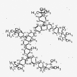 C=C=C(C)C(C)(CC)c1ccc(-c2ccc(N(c3ccc(-c4ccc(N(c5ccc(C(C)(C)C)cc5)c5ccc(-c6ccc(N(c7ccc(-c8ccc(C(C)(CCC)CCC)cc8)cc7)c7ccc(C(C)(C)C)cc7)cc6C)cc5C)cc4)cc3)c3ccc(C(C)(C)C)cc3)cc2)cc1